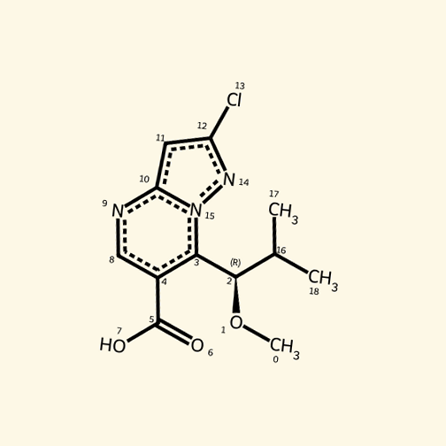 CO[C@@H](c1c(C(=O)O)cnc2cc(Cl)nn12)C(C)C